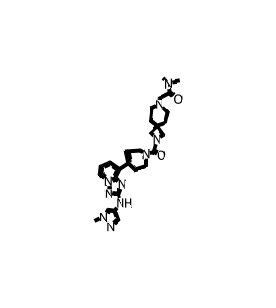 CN(C)C(=O)CN1CCC2(CC1)CN(C(=O)N1CC=C(c3cccn4nc(Nc5cnn(C)c5)nc34)CC1)C2